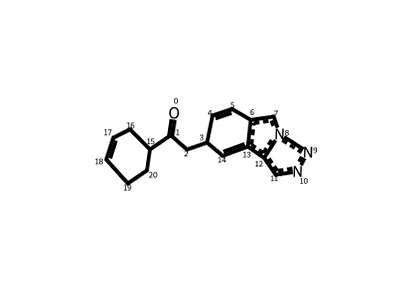 O=C(CC1C=Cc2cn3nncc3c2=C1)C1CC=CCC1